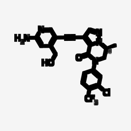 C[C@H]1CN(c2ccc(C(F)(F)F)c(Cl)c2)C(=O)c2c(C#Cc3cnc(N)cc3CO)cnn21